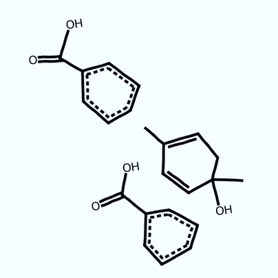 CC1=CCC(C)(O)C=C1.O=C(O)c1ccccc1.O=C(O)c1ccccc1